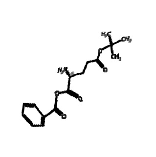 CC(C)(C)OC(=O)CC[C@H](N)C(=O)OC(=O)c1ccccc1